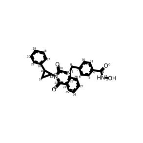 O=C(NO)c1ccc(Cn2c(=O)n(C3CC3c3ccccc3)c(=O)c3ccccc32)cc1